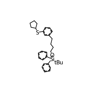 CC(C)(C)[Si](OCCCCc1cccc(SC2CCCC2)c1)(c1ccccc1)c1ccccc1